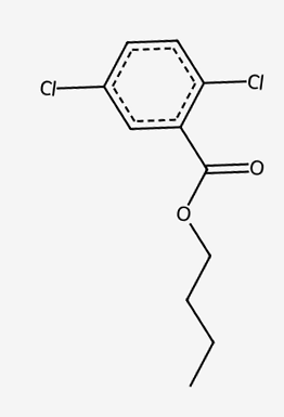 CCCCOC(=O)c1cc(Cl)ccc1Cl